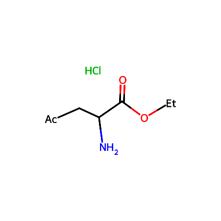 CCOC(=O)C(N)CC(C)=O.Cl